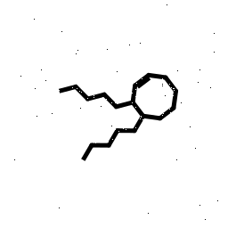 CCCCCC1C=CCCCCC1CCCCC